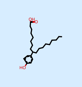 CCCCCCCCCC(CCCCCCCC(=O)O)c1ccc(O)cc1